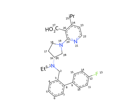 CCN(Cc1ccccc1-c1ccc(F)cc1)[C@@H]1CCN(c2nccc(C(C)C)c2C(=O)O)C1